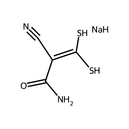 N#CC(C(N)=O)=C(S)S.[NaH]